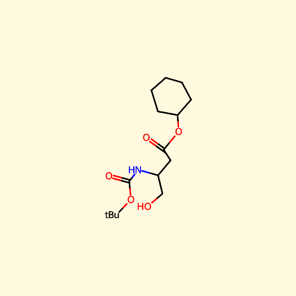 CC(C)(C)OC(=O)NC(CO)CC(=O)OC1CCCCC1